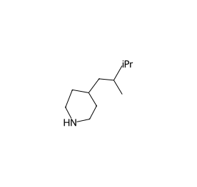 CC(C)C(C)CC1CCNCC1